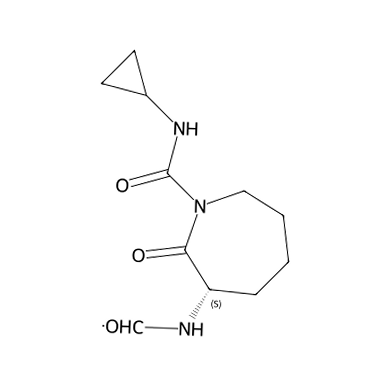 O=[C]N[C@H]1CCCCN(C(=O)NC2CC2)C1=O